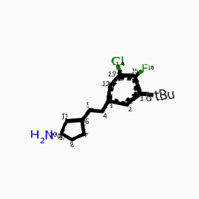 CC(C)(C)c1cc(CCC2CC[C@H](N)C2)cc(Cl)c1F